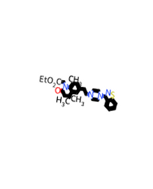 CCOC(=O)CN1C(=O)CC(C)(C)c2cc(CCN3CCN(c4nsc5ccccc45)CC3)cc(C)c21